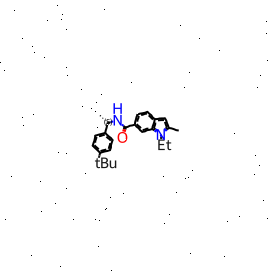 CCn1c(C)cc2ccc(C(=O)N[C@@H](C)c3ccc(C(C)(C)C)cc3)cc21